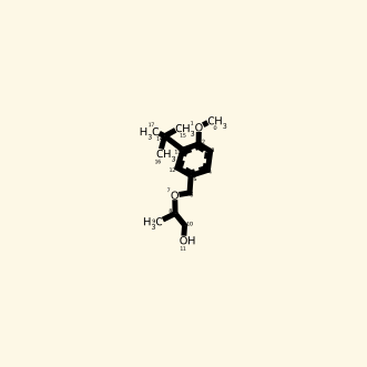 COc1ccc(COC(C)CO)cc1C(C)(C)C